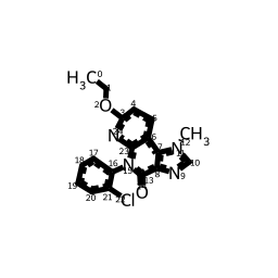 CCOc1ccc2c3c(ncn3C)c(=O)n(-c3ccccc3Cl)c2n1